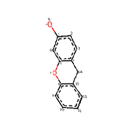 [O]c1ccc2c(c1)Oc1ccccc1C2